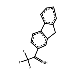 N=C(c1ccc2c(c1)Cc1ccccc1-2)C(F)(F)F